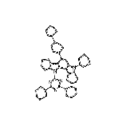 c1ccc(-c2ccc(-c3cc4c(c5ccccc5n4-c4ccccc4)c4c3c3ccccc3n4-c3nc(-c4ccccc4)nc(-c4ccccc4)n3)cc2)cc1